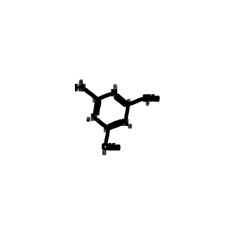 COc1nc(S)nc(SC)n1